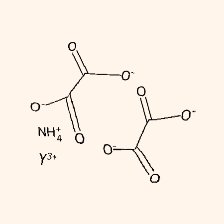 O=C([O-])C(=O)[O-].O=C([O-])C(=O)[O-].[NH4+].[Y+3]